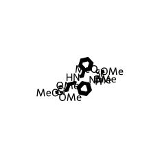 CNc1ccccc1.CO[SiH](OC)OC.CO[Si](CCCNCc1ccccc1)(OC)OC